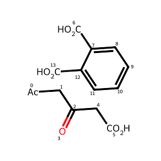 CC(=O)CC(=O)CC(=O)O.O=C(O)c1ccccc1C(=O)O